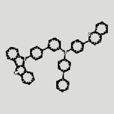 c1ccc(-c2ccc(N(c3ccc(-c4ccc5ccccc5n4)cc3)c3cccc(-c4ccc(-n5c6ccccc6c6oc7ccccc7c65)cc4)c3)cc2)cc1